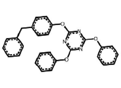 c1ccc(Cc2ccc(Oc3nc(Oc4ccccc4)nc(Oc4ccccc4)n3)cc2)cc1